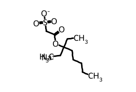 CCCCCC(CC)(CC)OC(=O)CS(=O)(=O)[O-].[Na+]